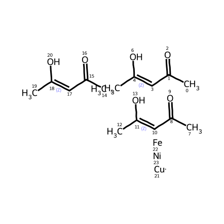 CC(=O)/C=C(/C)O.CC(=O)/C=C(/C)O.CC(=O)/C=C(/C)O.[Cu].[Fe].[Ni]